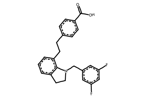 O=C(O)c1ccc(CCc2cccc3c2N(Cc2cc(F)cc(F)c2)CC3)cc1